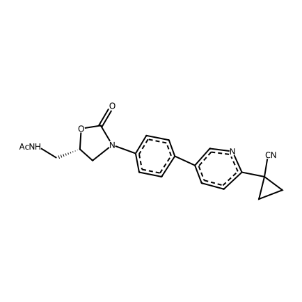 CC(=O)NC[C@H]1CN(c2ccc(-c3ccc(C4(C#N)CC4)nc3)cc2)C(=O)O1